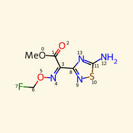 COC(=O)C(=NOCF)c1nsc(N)n1